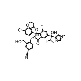 CC(I)C(O)(c1cc(F)c2c(c1)C(=O)N(Cc1ccc(C#N)cc1CO)[C@@]2(O[C@H]1CCOC1)c1ccc(Cl)cc1)c1cn(C)cn1